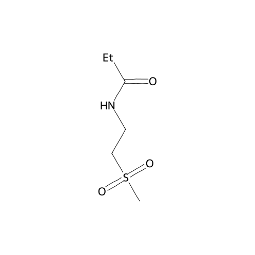 CCC(=O)NCCS(C)(=O)=O